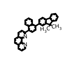 CC1(C)c2ccccc2-c2ccc(-c3ccc(-c4ccc5ccc6cccnc6c5n4)c4ccccc34)cc21